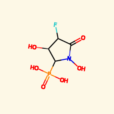 O=C1C(F)C(O)C(P(=O)(O)O)N1O